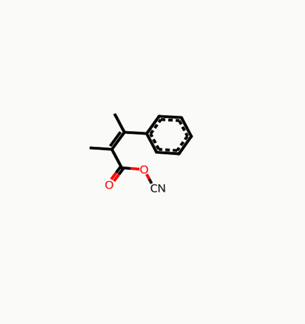 CC(C(=O)OC#N)=C(C)c1ccccc1